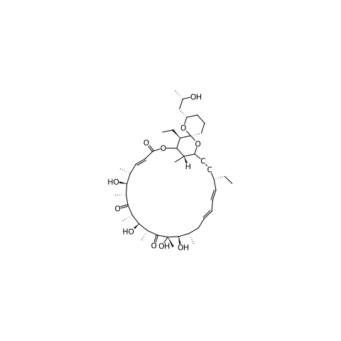 CC[C@@H]1/C=C/C=C/C[C@H](C)[C@@H](O)[C@](C)(O)C(=O)[C@H](C)[C@@H](O)[C@H](C)C(=O)[C@H](C)[C@@H](O)[C@H](C)/C=C/C(=O)OC2[C@@H](C)C(CC1)O[C@@]1(CCC[C@@H](C[C@H](C)O)O1)[C@@H]2CC